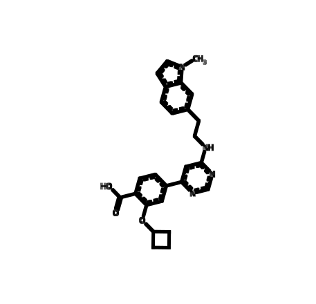 Cn1ccc2ccc(CCNc3cc(-c4ccc(C(=O)O)c(OC5CCC5)c4)ncn3)cc21